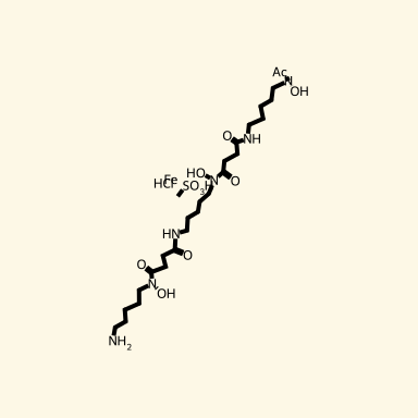 CC(=O)N(O)CCCCCNC(=O)CCC(=O)N(O)CCCCCNC(=O)CCC(=O)N(O)CCCCCN.CS(=O)(=O)O.Cl.[Fe]